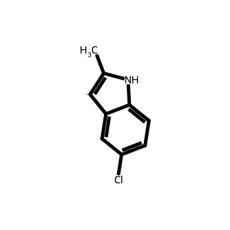 Cc1[c]c2cc(Cl)ccc2[nH]1